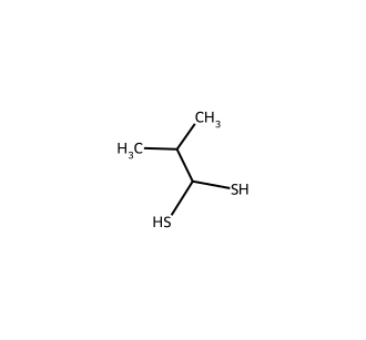 CC(C)C(S)S